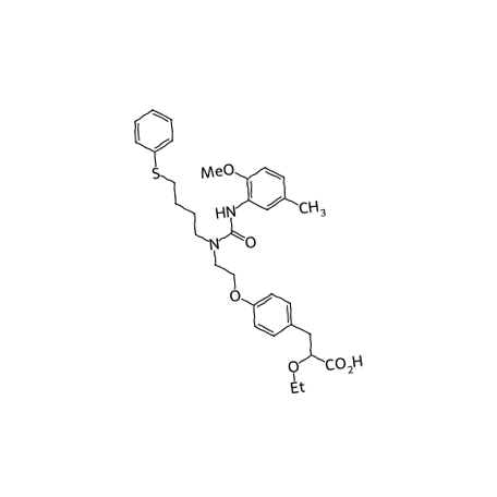 CCOC(Cc1ccc(OCCN(CCCCSc2ccccc2)C(=O)Nc2cc(C)ccc2OC)cc1)C(=O)O